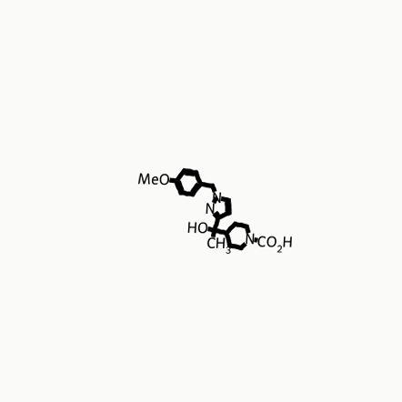 COc1ccc(Cn2ccc(C(C)(O)C3CCN(C(=O)O)CC3)n2)cc1